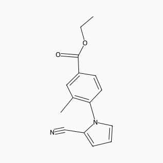 CCOC(=O)c1ccc(-n2cccc2C#N)c(C)c1